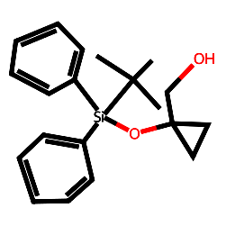 CC(C)(C)[Si](OC1(CO)CC1)(c1ccccc1)c1ccccc1